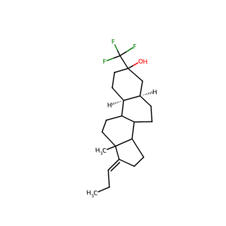 CC/C=C1\CCC2C3CC[C@@H]4CC(O)(C(F)(F)F)CC[C@@H]4C3CCC12C